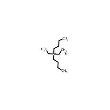 CCCC[N+](CC)(CC)CCCC.[Br-]